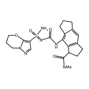 CNC(=O)C1CCc2cc3c(c(NC(=O)N=S(N)(=O)c4cnn5c4OCCC5)c21)CCC3